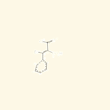 CC/C(=C(/C(=O)O)C(=O)Cl)c1ccccc1